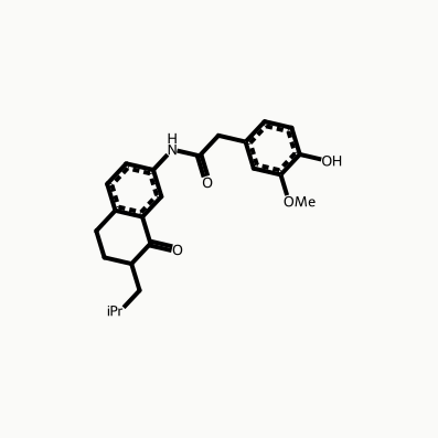 COc1cc(CC(=O)Nc2ccc3c(c2)C(=O)C(CC(C)C)CC3)ccc1O